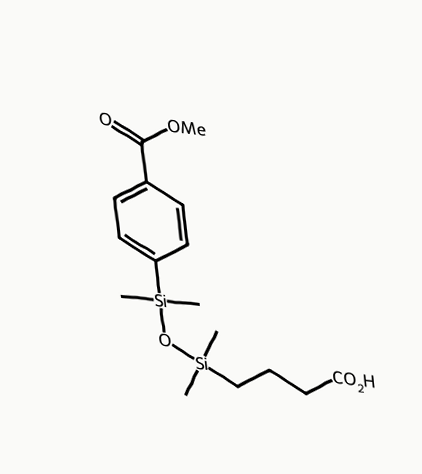 COC(=O)c1ccc([Si](C)(C)O[Si](C)(C)CCCC(=O)O)cc1